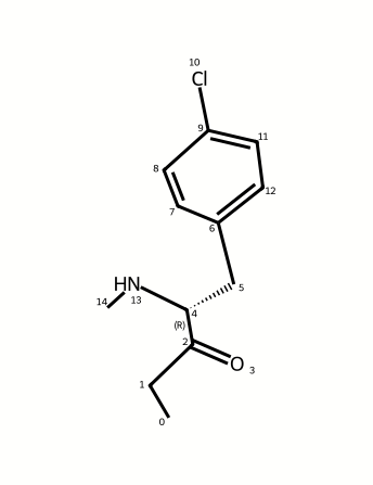 CCC(=O)[C@@H](Cc1ccc(Cl)cc1)NC